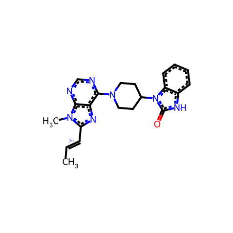 C/C=C/c1nc2c(N3CCC(n4c(=O)[nH]c5ccccc54)CC3)ncnc2n1C